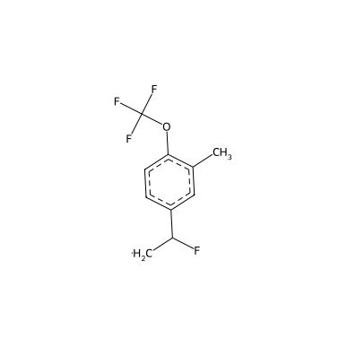 [CH2]C(F)c1ccc(OC(F)(F)F)c(C)c1